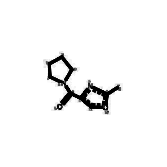 [CH]c1nc(C(=O)N2CCCC2)co1